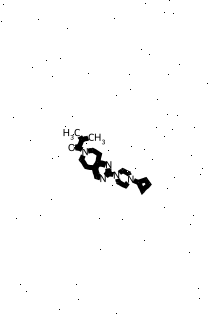 CC(C)C(=O)N1CCc2cnc(N3CCN(C4CCC4)CC3)nc2CC1